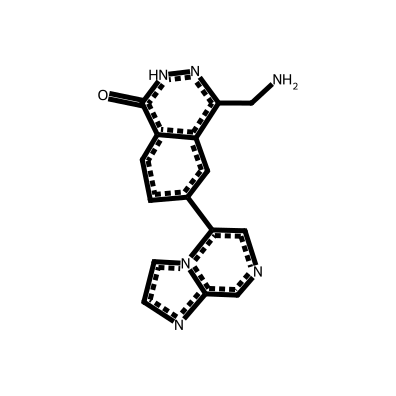 NCc1n[nH]c(=O)c2ccc(-c3cncc4nccn34)cc12